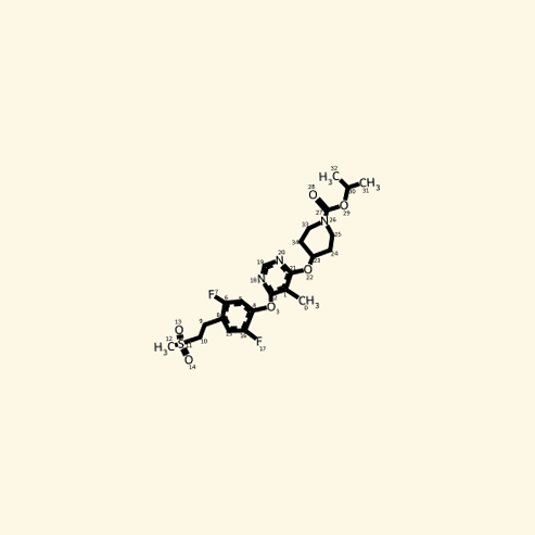 Cc1c(Oc2cc(F)c(CCS(C)(=O)=O)cc2F)ncnc1OC1CCN(C(=O)OC(C)C)CC1